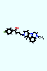 CN1CCN2c3c(cccc31)[C@@H]1CN(CCCC(O)c3ccc(F)cc3)CCC12